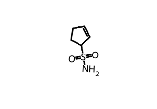 NS(=O)(=O)C1C=CCC1